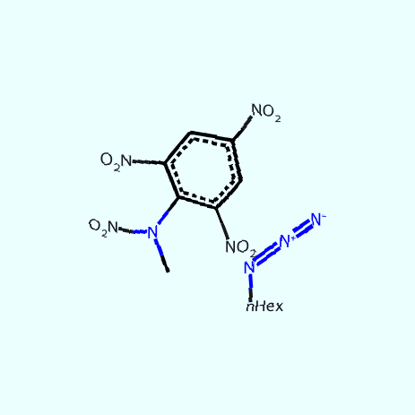 CCCCCCN=[N+]=[N-].CN(c1c([N+](=O)[O-])cc([N+](=O)[O-])cc1[N+](=O)[O-])[N+](=O)[O-]